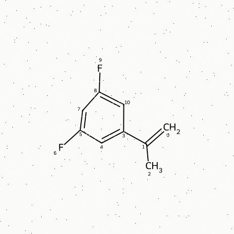 C=C(C)c1cc(F)cc(F)c1